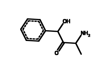 CC(N)C(=O)C(O)c1ccccc1